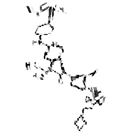 CC(C)n1c(=O)c(-c2ccc(NS(=O)(=O)CCC3CCC3)c(F)c2)cc2cnc(NC3CCC(N(C)C)CC3)nc21